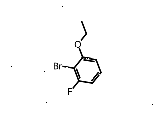 CCOc1cccc(F)c1Br